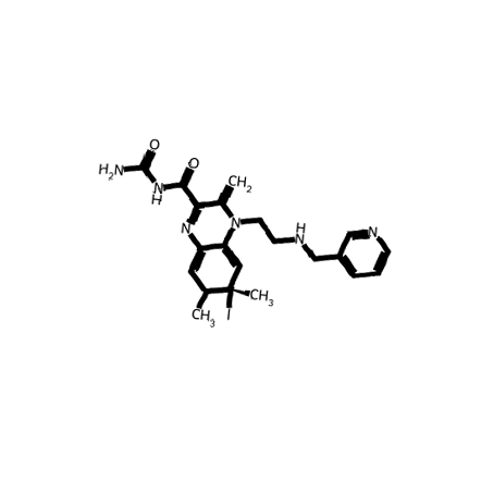 C=C1C(C(=O)NC(N)=O)=NC2=CC(C)[C@@](C)(I)C=C2N1CCNCc1cccnc1